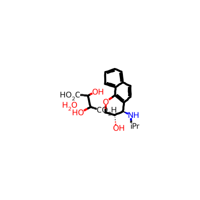 CC(C)N[C@@H]1c2ccc3ccccc3c2OC[C@H]1O.O.O=C(O)C(O)C(O)C(=O)O